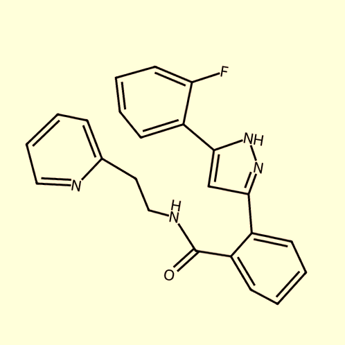 O=C(NCCc1ccccn1)c1ccccc1-c1cc(-c2ccccc2F)[nH]n1